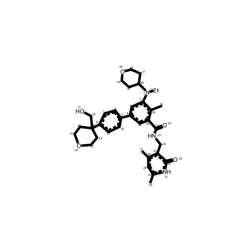 CCN(c1cc(-c2ccc(C3(CO)CCOCC3)cc2)cc(C(=O)NCc2c(C)cc(C)[nH]c2=O)c1C)C1CCOCC1